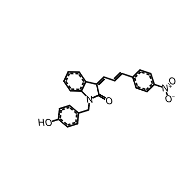 O=C1C(=CC=Cc2ccc([N+](=O)[O-])cc2)c2ccccc2N1Cc1ccc(O)cc1